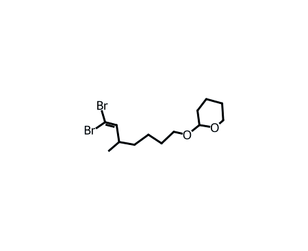 CC(C=C(Br)Br)CCCCOC1CCCCO1